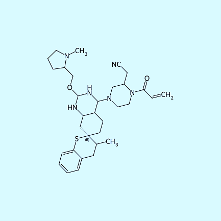 C=CC(=O)N1CCN(C2NC(OCC3CCCN3C)NC3C[C@@]4(CCC32)Sc2ccccc2CC4C)CC1CC#N